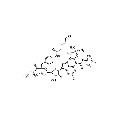 CCOC(=O)C(Cc1ccc(NC(=O)CCCCCl)cc1)(OC[C@H]1O[C@@H](n2cnc3c(N(C(=O)OC(C)(C)C)C(=O)OC(C)(C)C)nc(Cl)nc32)[C@@H](F)[C@@H]1O)C(C)=O